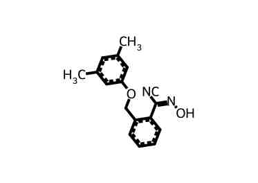 Cc1cc(C)cc(OCc2ccccc2/C(C#N)=N\O)c1